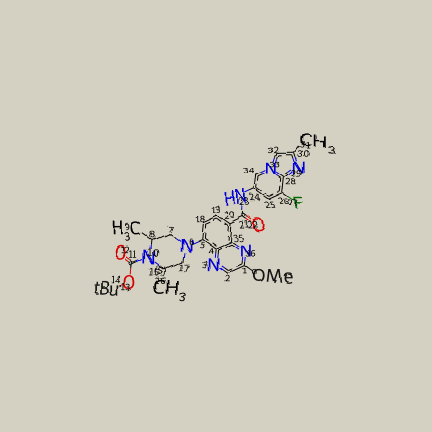 COc1cnc2c(N3CC(C)N(C(=O)OC(C)(C)C)[C@@H](C)C3)ccc(C(=O)Nc3cc(F)c4nc(C)cn4c3)c2n1